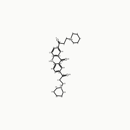 O=C(CCN1CCCCC1)c1ccc2oc3ccc(C(=O)CCN4CCCCC4)cc3c(=O)c2c1